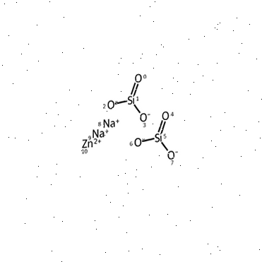 O=[Si]([O-])[O-].O=[Si]([O-])[O-].[Na+].[Na+].[Zn+2]